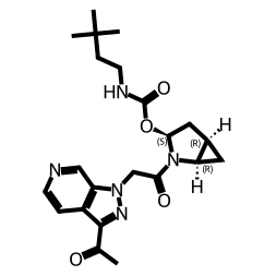 CC(=O)c1nn(CC(=O)N2[C@@H](OC(=O)NCCC(C)(C)C)C[C@H]3C[C@H]32)c2cnccc12